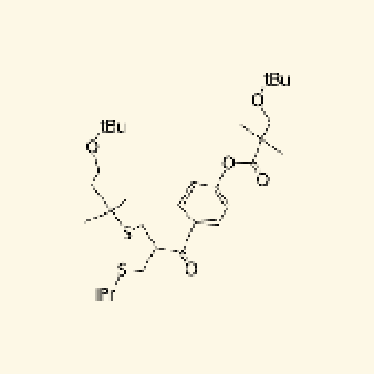 CC(C)SCC(CSC(C)(C)CCOC(C)(C)C)C(=O)c1ccc(OC(=O)C(C)(C)COC(C)(C)C)cc1